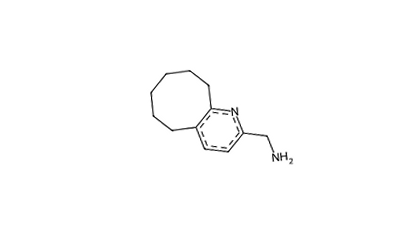 NCc1ccc2c(n1)CCCCCC2